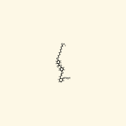 C=CCCCCCCCCOc1ccc(C(=O)Oc2ccc(OCCCC3CCCCC3CCCCCCC)cc2)cc1